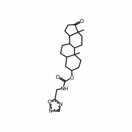 CC12CCC3C(CCC4CC(OC(=O)NCc5ncno5)CCC43C)C1CCC2=O